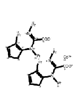 CC(C)N=C(C(=O)[O-])N(C1=C(C(C)C)C=CC1)C(C)C.CC(C)N=C(C(=O)[O-])N(C1=C(C(C)C)C=CC1)C(C)C.[Co+2]